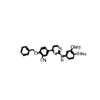 COc1ccc(Nc2nccc(-c3ccc(OCc4ccccc4)c(C#N)c3)n2)cc1OC